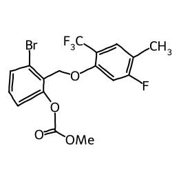 COC(=O)Oc1cccc(Br)c1COc1cc(F)c(C)cc1C(F)(F)F